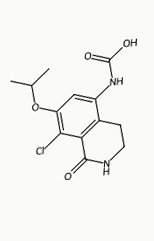 CC(C)Oc1cc(NC(=O)O)c2c(c1Cl)C(=O)NCC2